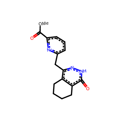 COC(=O)c1cccc(Cc2n[nH]c(=O)c3c2CCCC3)n1